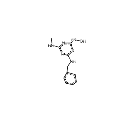 CNc1nc(NO)nc(NCc2ccccc2)n1